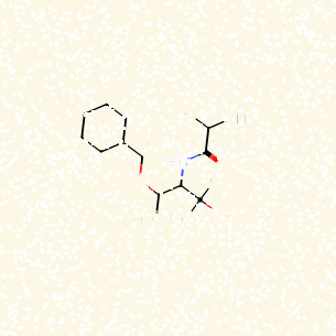 CC(C)C(=O)NC(C(C)OCC1CCCCC1)C(C)(C)O